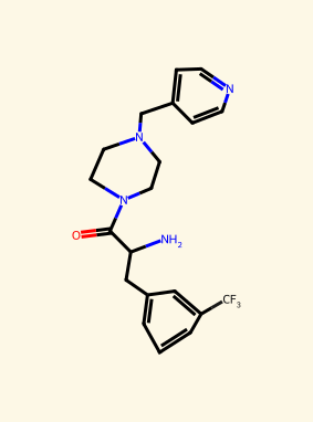 NC(Cc1cccc(C(F)(F)F)c1)C(=O)N1CCN(Cc2ccncc2)CC1